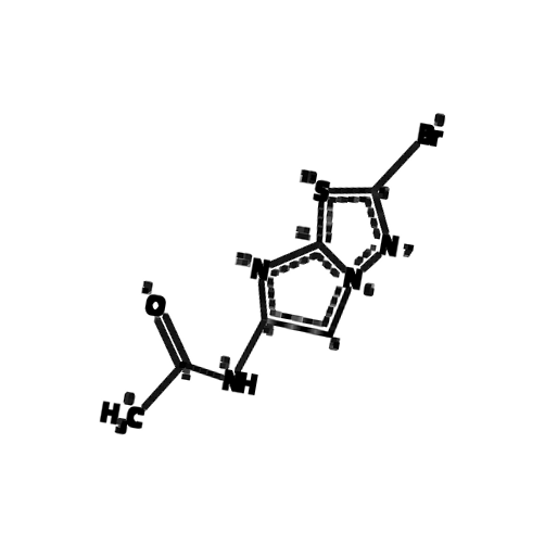 CC(=O)Nc1cn2nc(Br)sc2n1